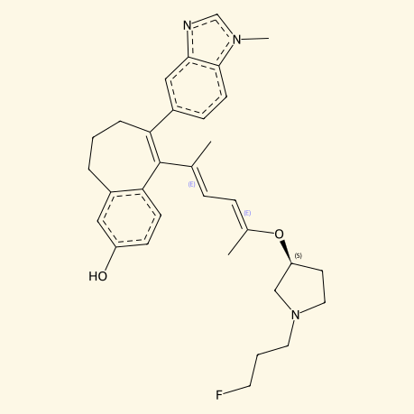 C/C(=C\C=C(/C)C1=C(c2ccc3c(c2)ncn3C)CCCc2cc(O)ccc21)O[C@H]1CCN(CCCF)C1